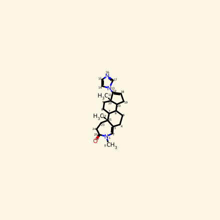 CN1C=C2CCC3C(CC[C@]4(C)C(n5ccnc5)=CCC34)[C@@]2(C)CCC1=O